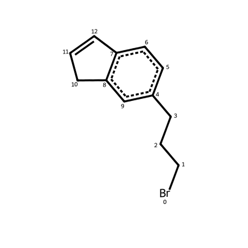 BrCCCc1ccc2c(c1)CC=C2